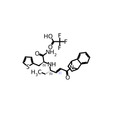 CC[C@@H](/C=C/C(=O)N1C2CCC1c1ccccc12)N[C@@H](Cc1cccs1)C(N)=O.O=C(O)C(F)(F)F